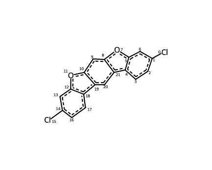 Clc1ccc2c(c1)oc1cc3oc4cc(Cl)ccc4c3cc12